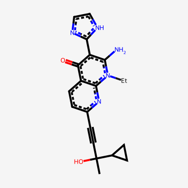 CCn1c(N)c(-c2ncc[nH]2)c(=O)c2ccc(C#CC(C)(O)C3CC3)nc21